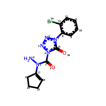 NN(C(=O)n1nnn(-c2ccccc2Br)c1=O)C1=CCCC1